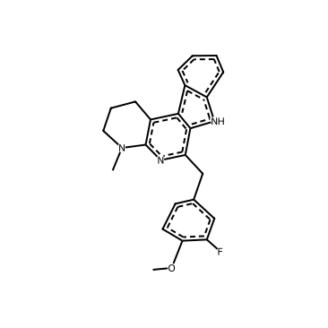 COc1ccc(Cc2nc3c(c4c2[nH]c2ccccc24)CCCN3C)cc1F